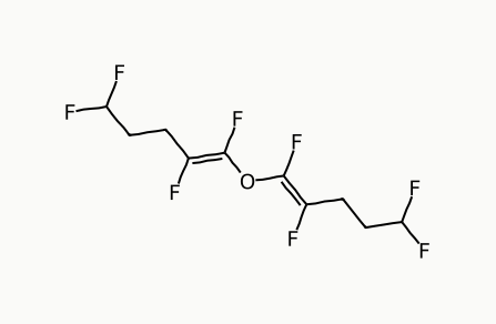 FC(CCC(F)F)=C(F)OC(F)=C(F)CCC(F)F